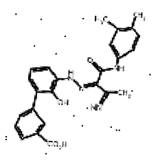 CC(=N)/C(=N/Nc1cccc(-c2cccc(C(=O)O)c2)c1O)C(=O)Nc1ccc(C)c(C)c1